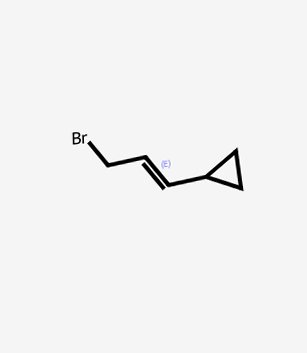 BrC/C=C/C1CC1